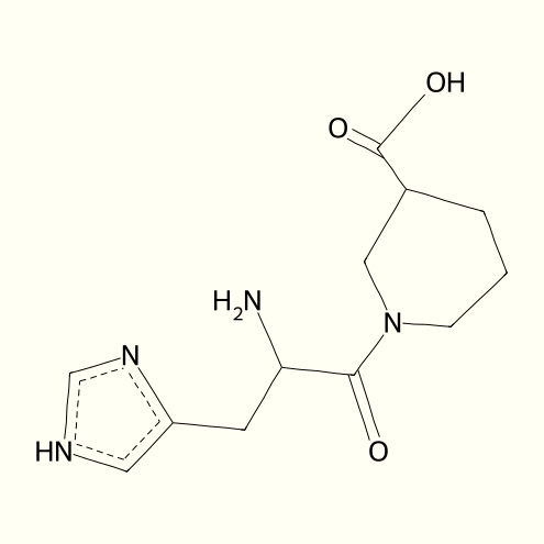 NC(Cc1c[nH]cn1)C(=O)N1CCCC(C(=O)O)C1